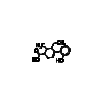 CCC1C(c2ccccc2O)=CCC(C(=O)O)C1C